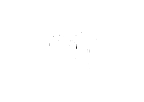 C[C@H]1[C@H](Nc2c(Nc3c[nH]c4ccccc34)c(=O)c2=O)C[C@H]2C[C@@H]1C2(C)C